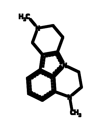 CN1CCc2c(c3cccc4c3n2CCN4C)C1